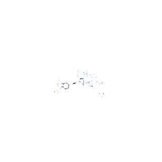 C=CC(=O)N1C[C@@H](n2nc(C#Cc3cc4nc(C)n(C5COC5)c4cc3Cl)c(C(N)=O)c2NC)C[C@@H]1CCOC